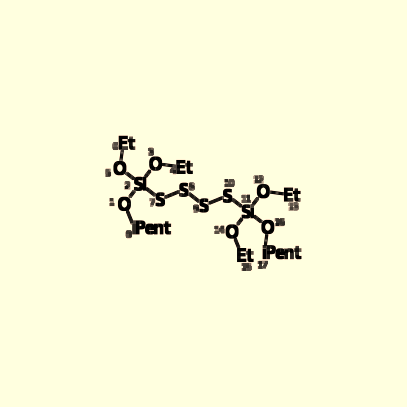 CCCC(C)O[Si](OCC)(OCC)SSSS[Si](OCC)(OCC)OC(C)CCC